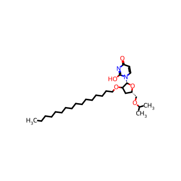 CCCCCCCCCCCCCCCCOC1C[C@@H](COC(C)C)O[C@H]1n1ccc(=O)nc1O